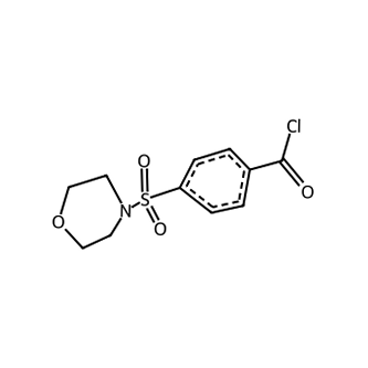 O=C(Cl)c1ccc(S(=O)(=O)N2CCOCC2)cc1